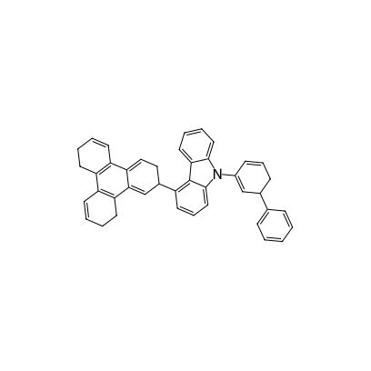 C1=Cc2c(c3c(c4c2=CCC(c2cccc5c2c2ccccc2n5C2=CC(c5ccccc5)CC=C2)C=4)CCC=C3)CC1